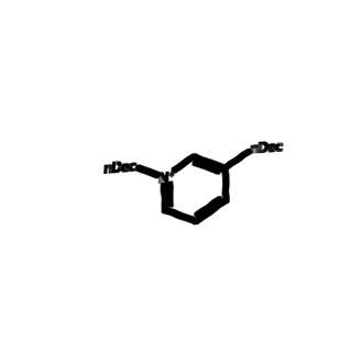 CCCCCCCCCCc1ccc[n+](CCCCCCCCCC)c1